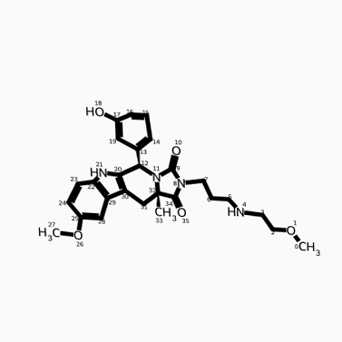 COCCNCCCN1C(=O)N2[C@H](c3cccc(O)c3)c3[nH]c4ccc(OC)cc4c3C[C@@]2(C)C1=O